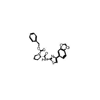 O=C(Nc1nc(-c2ccc3c(c2)OCO3)cs1)[C@@H]1CCCN1C(=O)OCc1ccccc1